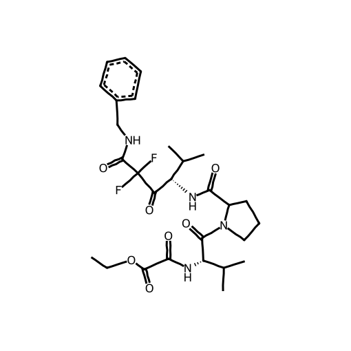 CCOC(=O)C(=O)N[C@H](C(=O)N1CCCC1C(=O)N[C@H](C(=O)C(F)(F)C(=O)NCc1ccccc1)C(C)C)C(C)C